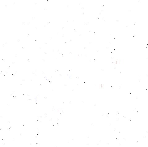 Nc1nc(=S)n([C@@H]2O[C@H](CO)C(O)C2O)cc1Br